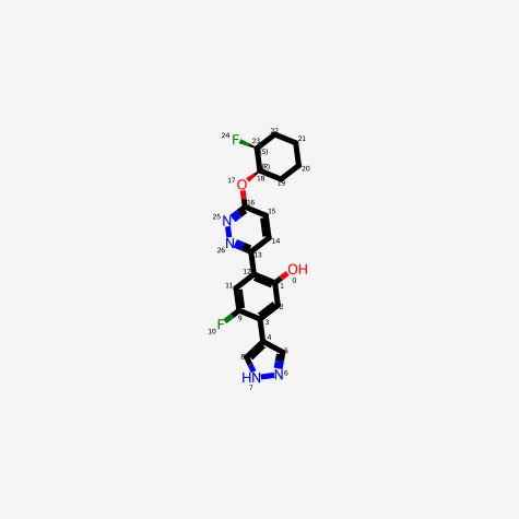 Oc1cc(-c2cn[nH]c2)c(F)cc1-c1ccc(O[C@@H]2CCCC[C@@H]2F)nn1